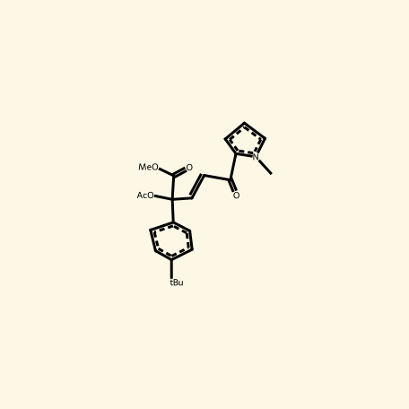 COC(=O)C(/C=C/C(=O)c1cccn1C)(OC(C)=O)c1ccc(C(C)(C)C)cc1